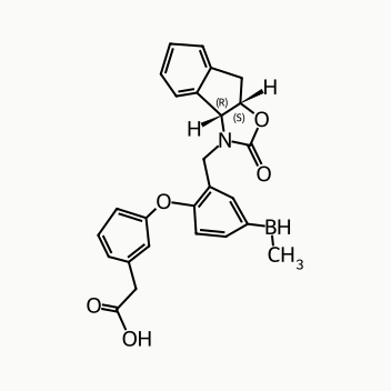 CBc1ccc(Oc2cccc(CC(=O)O)c2)c(CN2C(=O)O[C@H]3Cc4ccccc4[C@H]32)c1